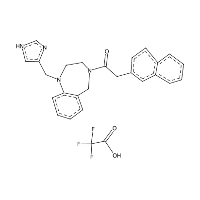 O=C(Cc1ccc2ccccc2c1)N1CCN(Cc2c[nH]cn2)c2ccccc2C1.O=C(O)C(F)(F)F